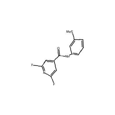 CSc1cccc(NC(=O)c2cc(F)nc(F)c2)c1